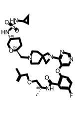 C=C(C)COC[C@@H](C)NC(=O)c1cc(F)ccc1Oc1cncnc1N1CC2(CCN(C[C@@H]3CC[C@@H](NS(=O)(=O)NC4CC4)CO3)CC2)C1